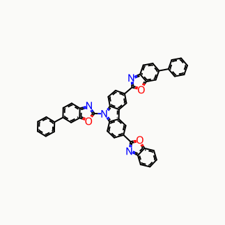 c1ccc(-c2ccc3nc(-c4ccc5c(c4)c4cc(-c6nc7ccccc7o6)ccc4n5-c4nc5ccc(-c6ccccc6)cc5o4)oc3c2)cc1